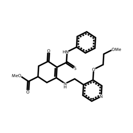 COCCOc1cnccc1CNC1=C(C(=S)Nc2ccccc2)C(=O)CC(C(=O)OC)C1